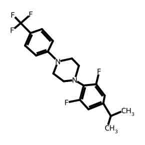 CC(C)c1cc(F)c(N2CCN(c3ccc(C(F)(F)F)cc3)CC2)c(F)c1